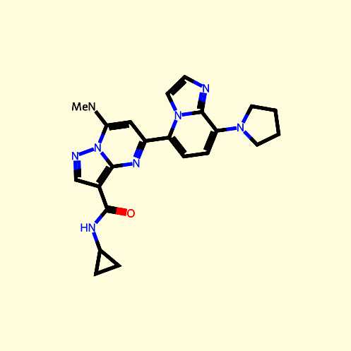 CNc1cc(-c2ccc(N3CCCC3)c3nccn23)nc2c(C(=O)NC3CC3)cnn12